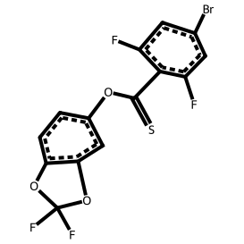 Fc1cc(Br)cc(F)c1C(=S)Oc1ccc2c(c1)OC(F)(F)O2